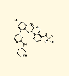 CCCS(=O)(=O)Nc1cccc2c(Oc3ncc(CC)cc3-c3ccnc(NC4CCCNC4)n3)c(C)ccc12